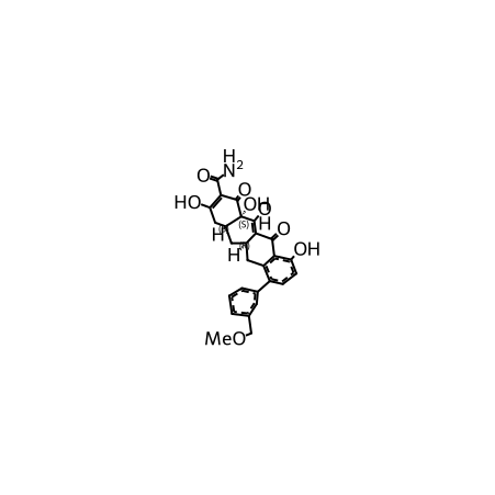 COCc1cccc(-c2ccc(O)c3c2C[C@H]2C[C@H]4CC(O)=C(C(N)=O)C(=O)[C@@]4(O)C(O)=C2C3=O)c1